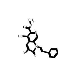 COC(=O)c1ncc2c(cc(Br)c(=O)n2C=Cc2ccccc2)c1O